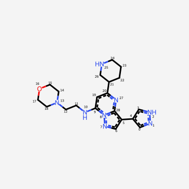 c1n[nH]cc1-c1cnn2c(NCCN3CCOCC3)cc(C3CCCNC3)nc12